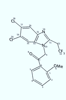 COc1ccccc1C(=O)Cn1c(CC(F)(F)F)nc2cc(Cl)c(Cl)cc21